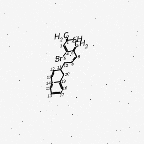 C=C(S)/C=C(/Br)C(=C)/C=C\CC1C=Cc2ccccc2C1